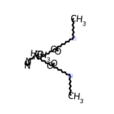 CCCCCCCC/C=C\CCCCCCCC(=O)OCCCCCC(O)C(CCCCOC(=O)CCCCCCC/C=C\CCCCCCCC)CN(C)CCCn1ccnc1